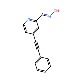 ON=Cc1cc(C#Cc2ccccc2)ccn1